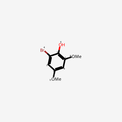 COc1cc(Br)c(O)c(OC)c1